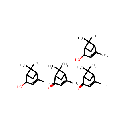 CC1=CC(=O)C2CC1C2(C)C.CC1=CC(=O)C2CC1C2(C)C.CC1=CC(O)C2CC1C2(C)C.CC1=CC(O)C2CC1C2(C)C